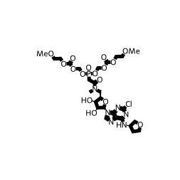 COCCOC(=O)OCOP(=O)(CC(=O)N(C)C[C@H]1O[C@@H](n2cnc3c(N[C@H]4CCOC4)nc(Cl)nc32)[C@H](O)[C@@H]1O)OCOC(=O)OCCOC